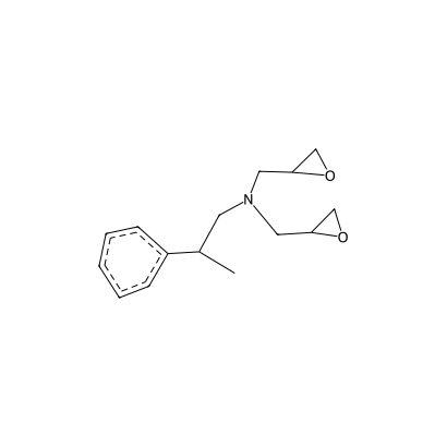 CC(CN(CC1CO1)CC1CO1)c1ccccc1